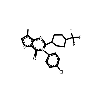 Cc1csc2c(=O)n(-c3ccc(Cl)cc3)c(C3CCC(C(F)(F)F)CC3)nc12